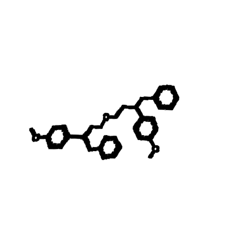 COc1ccc(C(CCOCCC(Cc2ccccc2)c2ccc(OC)cc2)Cc2ccccc2)cc1